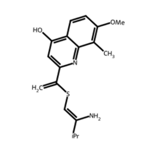 C=C(S/C=C(\N)C(C)C)c1cc(O)c2ccc(OC)c(C)c2n1